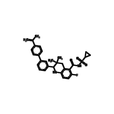 C=C(C)c1ccc(-c2cccc(C3Nc4ccc(F)c(C(=O)NS(=O)(=O)C5CC5)c4CC3(C)C)c2)cc1